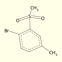 Cc1ccc(Br)c(S(C)(=O)=O)c1